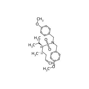 C=CC[C@H](C)[C@@H](C(C)C)S(=O)(=O)N(Cc1ccc(OC)cc1)Cc1ccc(OC)cc1